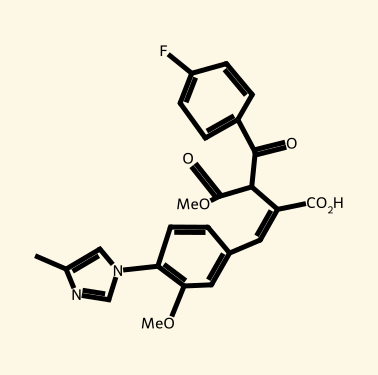 COC(=O)C(C(=O)c1ccc(F)cc1)/C(=C\c1ccc(-n2cnc(C)c2)c(OC)c1)C(=O)O